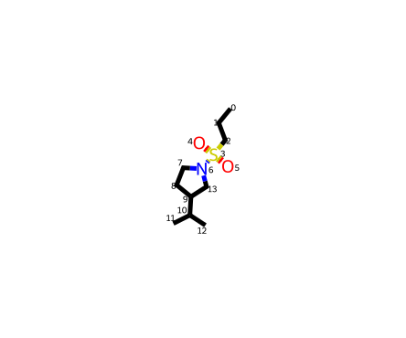 CCCS(=O)(=O)N1CCC(C(C)C)C1